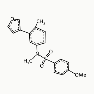 COc1ccc(S(=O)(=O)N(C)c2ccc(C)c(-c3ccoc3)c2)cc1